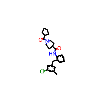 Cc1cc(Cl)cc(Cc2ccccc2NC(=O)C2CCN(C(=O)C3CCCC3)CC2)c1